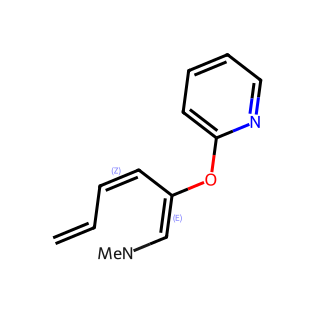 C=C/C=C\C(=C/NC)Oc1ccccn1